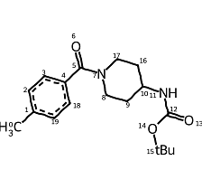 Cc1ccc(C(=O)N2CCC(NC(=O)OC(C)(C)C)CC2)cc1